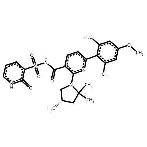 COc1cc(C)c(-c2ccc(C(=O)NS(=O)(=O)c3ccc[nH]c3=O)c(N3C[C@@H](C)CC3(C)C)n2)c(C)c1